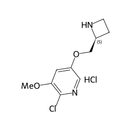 COc1cc(OC[C@@H]2CCN2)cnc1Cl.Cl